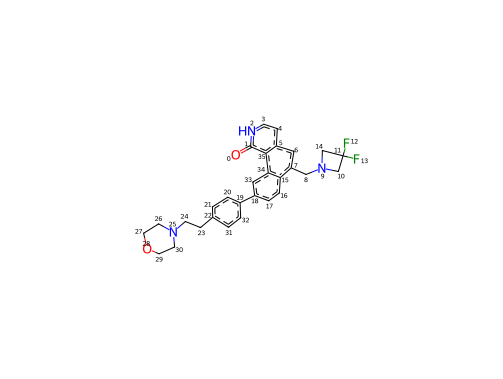 O=c1[nH]ccc2cc(CN3CC(F)(F)C3)c3ccc(-c4ccc(CCN5CCOCC5)cc4)cc3c12